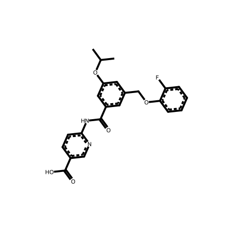 CC(C)Oc1cc(COc2ccccc2F)cc(C(=O)Nc2ccc(C(=O)O)cn2)c1